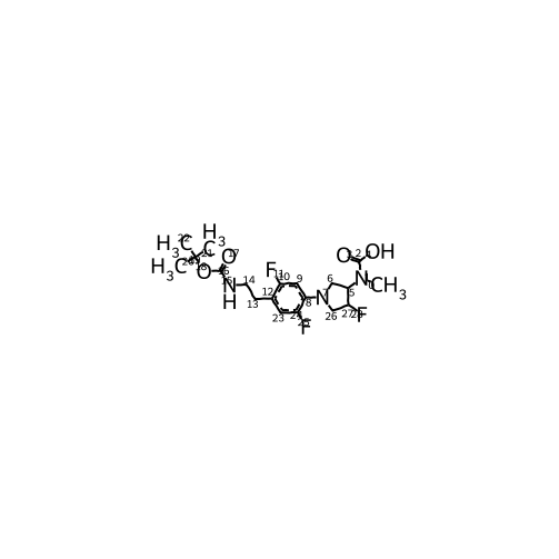 CN(C(=O)O)C1CN(c2cc(F)c(CCNC(=O)OC(C)(C)C)cc2F)CC1F